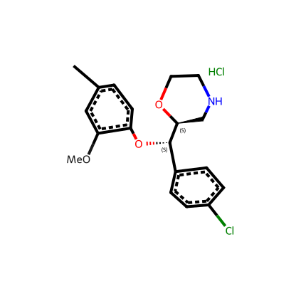 COc1cc(C)ccc1O[C@@H](c1ccc(Cl)cc1)[C@@H]1CNCCO1.Cl